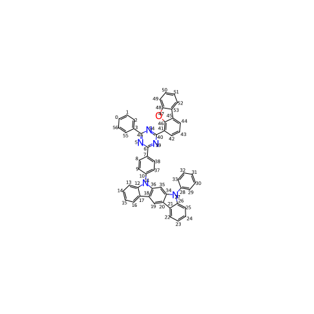 c1ccc(-c2nc(-c3ccc(-n4c5ccccc5c5cc6c7ccccc7n(-c7ccccc7)c6cc54)cc3)nc(-c3cccc4c3oc3ccccc34)n2)cc1